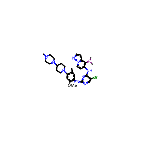 COc1cc(N2CCC(N3CCN(C)CC3)CC2)c(C)cc1Nc1ncc(Br)c(Nc2ccn3nccc3c2P(C)C)n1